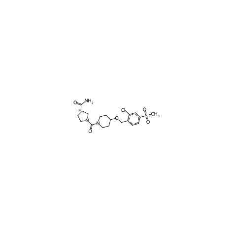 CS(=O)(=O)c1ccc(COC2CCN(C(=O)N3CC[C@H](C(N)=O)C3)CC2)c(Cl)c1